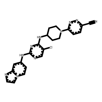 N#Cc1ccc(N2CCC(Nc3nc(Nc4ccn5ccnc5c4)ncc3Cl)CC2)nn1